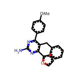 COc1ccc(-c2nc(N)nc(-c3ccco3)c2Cc2ccccc2)cc1